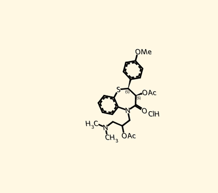 COc1ccc([C@@H]2Sc3ccccc3N(CC(CN(C)C)OC(C)=O)C(=O)[C@@H]2OC(C)=O)cc1.Cl